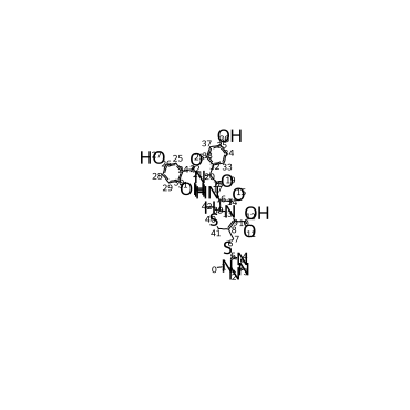 Cn1nnnc1SCC1=C(C(=O)O)N2C(=O)C(NC(=O)C(NC(=O)c3cc(O)ccc3O)c3ccc(O)cc3)[C@H]2SC1